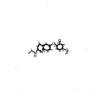 CCNc1ccc2cc(Oc3ccc(OC)cc3Cl)ccc2n1